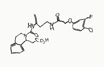 C=C(CCNC(=O)COc1ccc(Cl)c(F)c1)NC(=O)N1CCc2ccccc2C1CC(=O)O